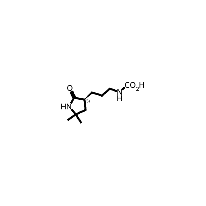 CC1(C)C[C@H](CCCNC(=O)O)C(=O)N1